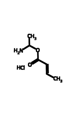 C/C=C/C(=O)OC(C)N.Cl